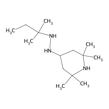 CCC(C)(C)NNC1CC(C)(C)NC(C)(C)C1